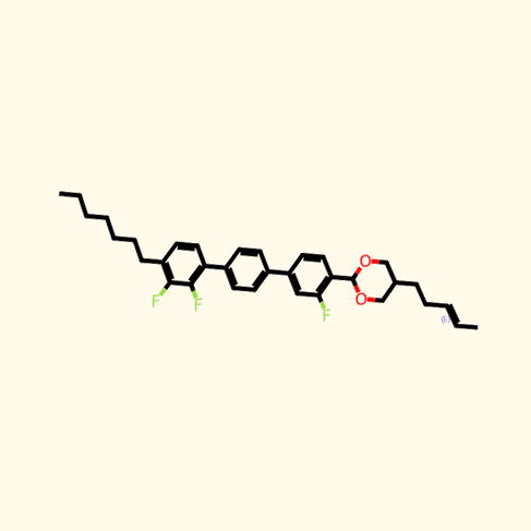 C/C=C/CCC1COC(c2ccc(-c3ccc(-c4ccc(CCCCCCC)c(F)c4F)cc3)cc2F)OC1